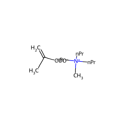 C=C(C)C(=O)[O-].CCC[N+](C)(CCC)CCC